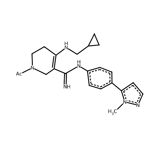 CC(=O)N1CCC(NCC2CC2)=C(C(=N)Nc2ccc(-c3ccnn3C)cc2)C1